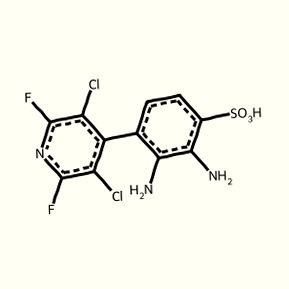 Nc1c(-c2c(Cl)c(F)nc(F)c2Cl)ccc(S(=O)(=O)O)c1N